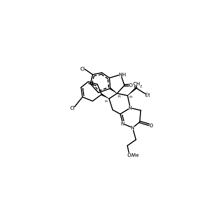 C=C(CC)[C@H]1N2CC(=O)N(CCOC)N=C2C[C@@H](C2C=CC=C(Cl)C2)[C@]12C(=O)Nc1cc(Cl)ccc12